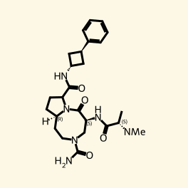 CN[C@@H](C)C(=O)N[C@H]1CN(C(N)=O)CC[C@H]2CCC(C(=O)N[C@H]3C[C@H](c4ccccc4)C3)N2C1=O